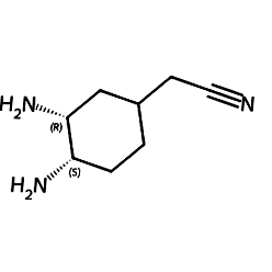 N#CCC1CC[C@H](N)[C@H](N)C1